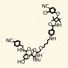 CC(C)(C)[C@H](NC(=O)COCCCCNc1ccc(C(=O)N[C@H]2C(C)(C)[C@H](Oc3ccc(C#N)c(Cl)c3)C2(C)C)cc1)C(=O)N1C[C@H](O)C[C@H]1C(=O)NCc1ccc(C#N)cc1